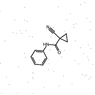 N#CC1(C(=O)Nc2ccccc2)CC1